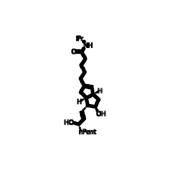 CCCCC[C@H](O)/C=C/[C@@H]1[C@H]2CC(CCCCC(=O)NC(C)C)=C[C@H]2C[C@H]1O